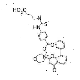 CN(CCCC(=O)O)C(=S)Nc1ccc(C(=O)OC[N+]2(c3cc(=O)c4cccc(-c5ccccc5)c4o3)CCOCC2)cc1